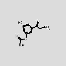 CC(C)(C)C(=O)Oc1cccc(C(=O)CN)c1.Cl